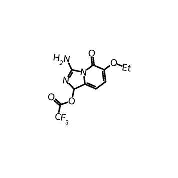 CCOc1ccc2n(c1=O)C(N)=NC2OC(=O)C(F)(F)F